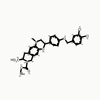 CN1CC(c2ccc(OCc3ccc(Cl)c(Cl)c3)cc2)Oc2cc3c(cc21)CC(C(=O)O)N(C(=O)OC(C)(C)C)C3